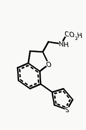 O=C(O)NCC1Cc2cccc(-c3ccsc3)c2O1